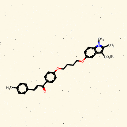 CCOC(=O)c1c(C)n(C)c2ccc(OCCCCOc3ccc(C(=O)C=Cc4ccc(C)cc4)cc3)cc12